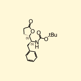 CC(C)(C)OC(=O)N[C@@H](Cc1ccccc1)[C@@H]1CCC(=O)O1